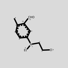 CCN(CCCl)c1ccc(C)c(C=O)c1